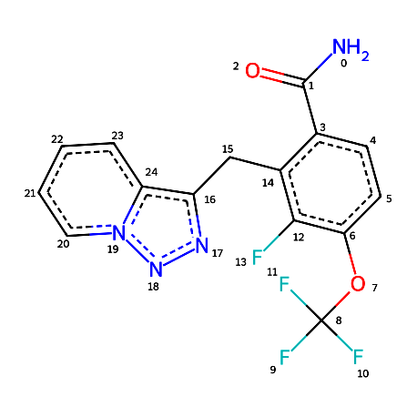 NC(=O)c1ccc(OC(F)(F)F)c(F)c1Cc1nnn2ccccc12